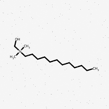 CCCCCCCCCCCC[Si](C)(C)CO